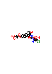 CC(C)C1=C2C3CCC4C(C)(CCC5C(C)C(OC(=O)C6CC(C(=O)O)C6C)CCC54C)C3CCC2(NC(=O)C(C)(C)NC(=O)c2ccc(Cl)cc2O)CC1=O